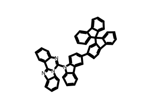 c1ccc2c(c1)-c1ccccc1C21c2ccccc2-c2ccc(-c3ccc4c(c3)c3ccccc3n4-c3nc4ccccc4c4nc5ccccc5n34)cc21